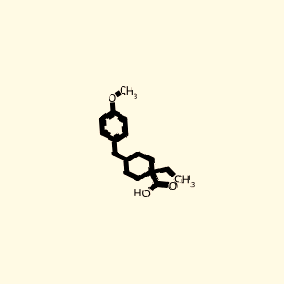 CCC1(C(=O)O)CCC(Cc2ccc(OC)cc2)CC1